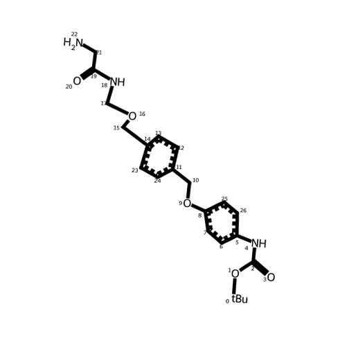 CC(C)(C)OC(=O)Nc1ccc(OCc2ccc(COCNC(=O)CN)cc2)cc1